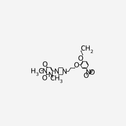 C=CCOc1ccc([N+](=O)[O-])cc1OCCCN1CCN(c2cc(=O)n(C)c(=O)n2C)CC1